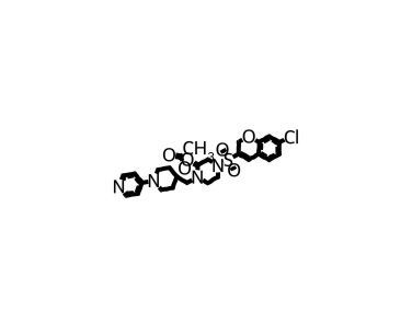 CC(=O)OC1(CN2CCN(S(=O)(=O)C3=Cc4ccc(Cl)cc4OC3)CC2=O)CCN(c2ccncc2)CC1